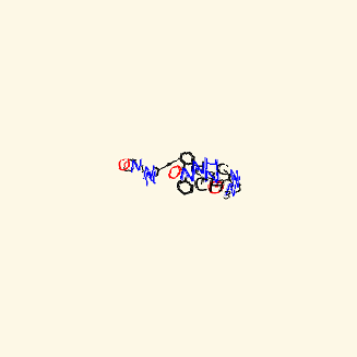 Cc1nn2cccnc2c1C(=O)NC(C)c1nc2cccc(C#Cc3cnn(CCN4CCOCC4)c3)c2c(=O)n1-c1ccccc1